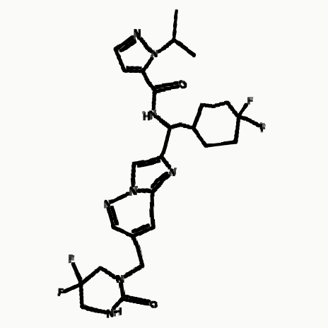 CC(C)n1nccc1C(=O)NC(c1cn2ncc(CN3CC(F)(F)CNC3=O)cc2n1)C1CCC(F)(F)CC1